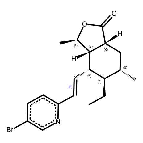 CC[C@H]1[C@H](/C=C/c2ccc(Br)cn2)[C@@H]2[C@@H](C)OC(=O)[C@@H]2C[C@@H]1C